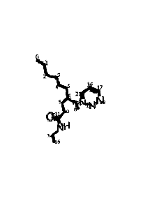 CCCCCCC(CC)CCC(=O)NCC.c1cnnnc1